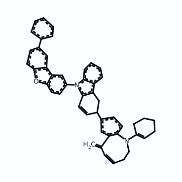 C=C1/C=C\CCN(C2=CCCCC2)c2ccc(C3C=Cc4c(c5ccccc5n4-c4ccc5oc6ccc(-c7ccccc7)cc6c5c4)C3)cc21